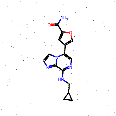 NC(=O)c1cc(-c2cnc(NCC3CC3)c3nccn23)co1